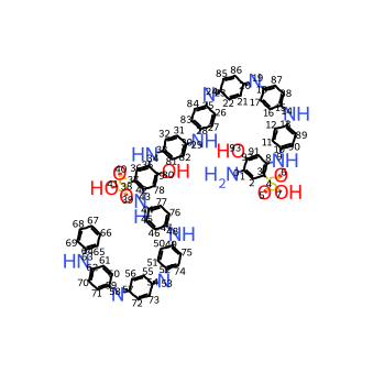 Nc1cc(S(=O)(=O)O)c(Nc2ccc(Nc3ccc(N=C4C=CC(=Nc5ccc(Nc6ccc(Nc7cc(S(=O)(=O)O)c(Nc8ccc(Nc9ccc(N=C%10C=CC(=Nc%11ccc(Nc%12ccccc%12)cc%11)C=C%10)cc9)cc8)cc7O)cc6)cc5)C=C4)cc3)cc2)cc1O